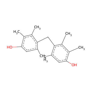 Cc1cc(O)c(C)c(C)c1Cc1c(C)cc(O)c(C)c1C